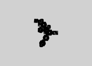 COc1ccc(-n2c([C@H]3CCCN3)nc3c(N4CCC(N5CCOCC5)CC4)cc(C#N)cc3c2=O)cc1F